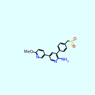 COc1ccc(-c2cnc(N)c(-c3ccc(C[SH](=O)=O)cc3)c2)cn1